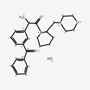 CC(C(=O)N1CCCCC1CN1CCOCC1)c1cccc(C(=O)c2ccccc2)c1.Cl